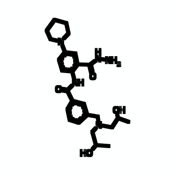 CC(O)CN(Cc1cccc(C(=O)Nc2ccc(N3CCCCC3)cc2C(=O)NN)c1)CC(C)O